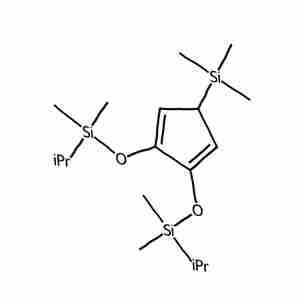 CC(C)[Si](C)(C)OC1=CC([Si](C)(C)C)C=C1O[Si](C)(C)C(C)C